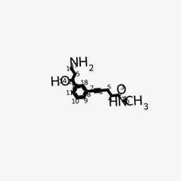 CNC(=O)CCC#Cc1cccc(C(O)CCN)c1